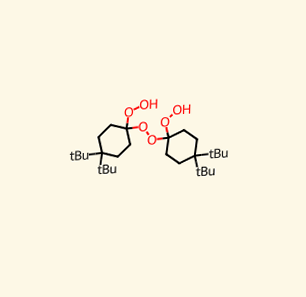 CC(C)(C)C1(C(C)(C)C)CCC(OO)(OOC2(OO)CCC(C(C)(C)C)(C(C)(C)C)CC2)CC1